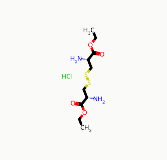 CCOC(=O)[C@@H](N)CSSC[C@H](N)C(=O)OCC.Cl